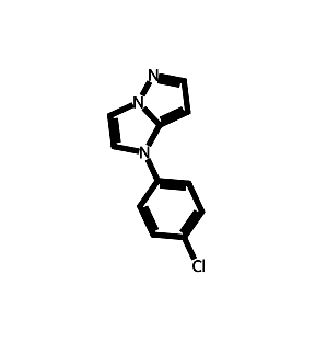 Clc1ccc(-n2ccn3nccc23)cc1